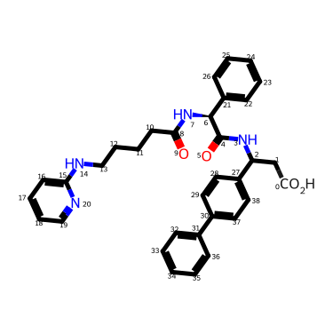 O=C(O)CC(NC(=O)[C@@H](NC(=O)CCCCNc1ccccn1)c1ccccc1)c1ccc(-c2ccccc2)cc1